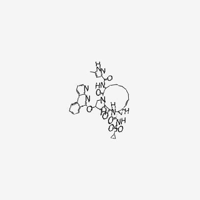 Cc1cc(C(=O)N[C@H]2CCCCC/C=C\[C@@H]3C[C@@]3(C(=O)NS(=O)(=O)C3CC3)NC(=O)[C@@H]3C[C@@H](Oc4nc5ncccc5c5ccccc45)CN3C2=O)n[nH]1